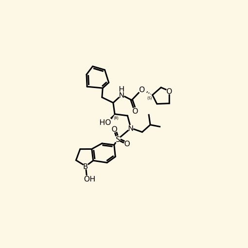 CC(C)CN(C[C@@H](O)C(Cc1ccccc1)NC(=O)O[C@H]1CCOC1)S(=O)(=O)c1ccc2c(c1)CCB2O